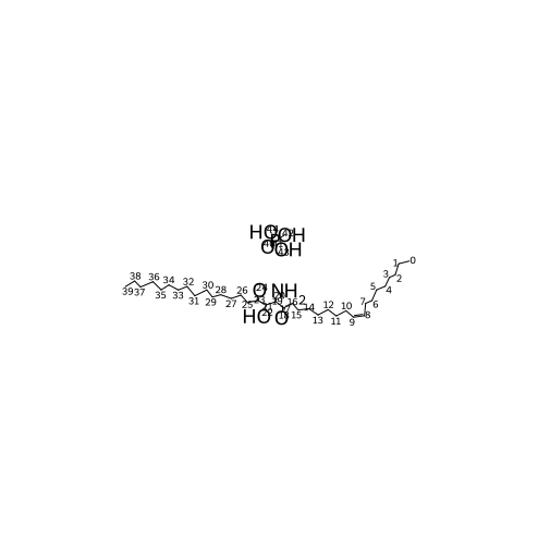 CCCCCCCC/C=C\CCCCCCCC(=O)C(N)C(O)C(=O)CCCCCCCCCCCCCCC.O=P(O)(O)O